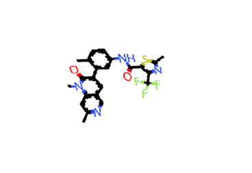 Cc1cc2c(cn1)cc(-c1cc(NC(=O)c3sc(C)nc3C(F)(F)F)ccc1C)c(=O)n2C